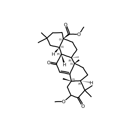 COC(=O)[C@]12CCC(C)(C)C[C@H]1[C@H]1C(=O)C=C3[C@@]4(C)CC(OC)C(=O)C(C)(C)[C@@H]4CC[C@@]3(C)[C@]1(C)CC2